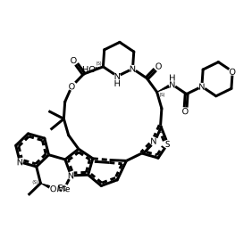 CCn1c(-c2cccnc2[C@H](C)OC)c2c3cc(ccc31)-c1csc(n1)C[C@H](NC(=O)N1CCOCC1)C(=O)N1CCC[C@@](O)(N1)C(=O)OCC(C)(C)C2